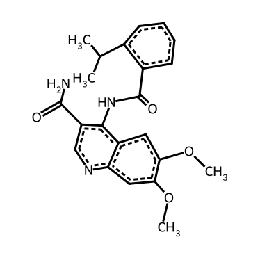 COc1cc2ncc(C(N)=O)c(NC(=O)c3ccccc3C(C)C)c2cc1OC